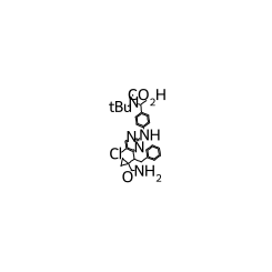 CC(c1ccc(Nc2ncc(Cl)c(C(Cc3ccccc3)C3(C(N)=O)CC3)n2)cc1)N(C(=O)O)C(C)(C)C